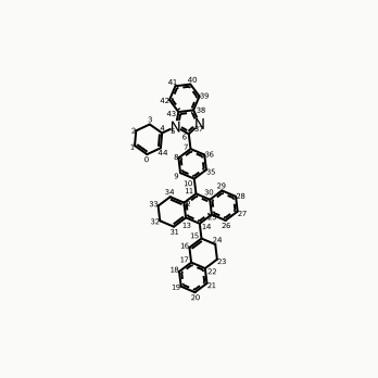 C1=CCCC(n2c(-c3ccc(-c4c5c(c(C6=Cc7ccccc7CC6)c6ccccc46)=CCCC=5)cc3)nc3ccccc32)=C1